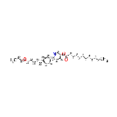 C=CCCCCCCCCCC(=O)Oc1ccc(-c2ccc(CCCCCOCCC)cc2)nc1